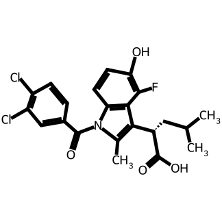 Cc1c([C@H](CC(C)C)C(=O)O)c2c(F)c(O)ccc2n1C(=O)c1ccc(Cl)c(Cl)c1